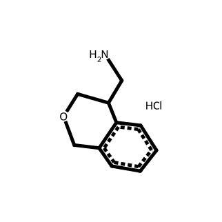 Cl.NCC1COCc2ccccc21